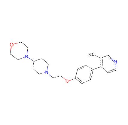 N#Cc1cnccc1-c1ccc(OCCN2CCC(N3CCOCC3)CC2)cc1